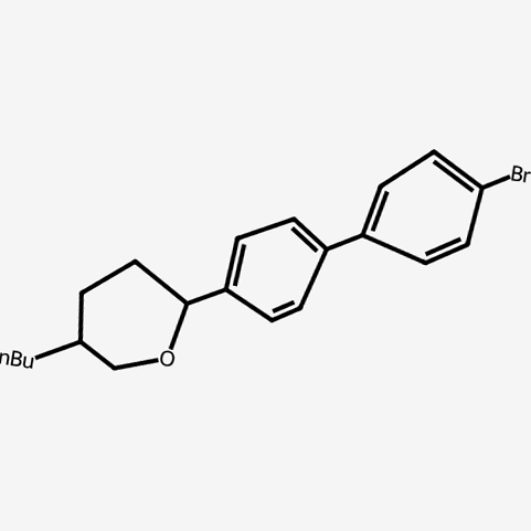 CCCCC1CCC(c2ccc(-c3ccc(Br)cc3)cc2)OC1